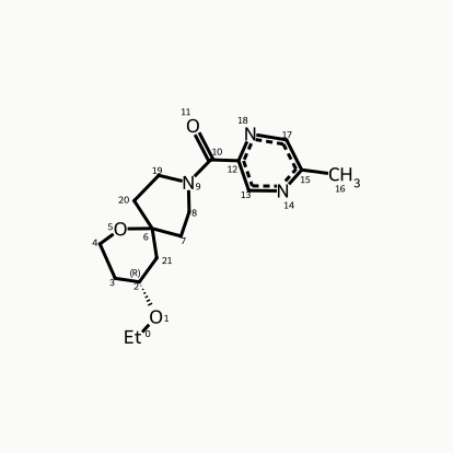 CCO[C@@H]1CCOC2(CCN(C(=O)c3cnc(C)cn3)CC2)C1